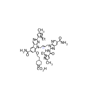 CCn1nc(C)cc1C(=O)Nc1nc2cc(C(N)=O)cnc2n1C/C=C/Cn1c2nc(-c3cc(C)nn3CC)ncc2c2cc(C(N)=O)cc(OCCC3CCN(C(=O)O)CC3)c21